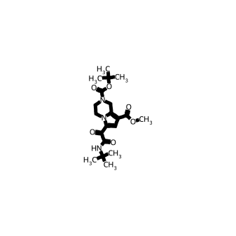 COC(=O)c1cc(C(=O)C(=O)NC(C)(C)C)n2c1CN(C(=O)OC(C)(C)C)CC2